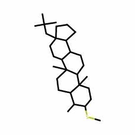 CSC1CCC2(C)C(CCC3(C)C4CCC5(CC(C)(C)C)CCCC5C4CCC23)C1C